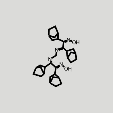 ON=C(C(=NCN=C(C(=NO)C1CC2CCC1C2)C1CC2CCC1C2)C1CC2CCC1C2)C1CC2CCC1C2